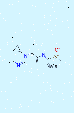 C=C(CN(/C=N\C)C1CC1)/N=C(\NC)[S+](C)[O-]